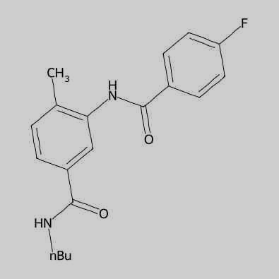 CCCCNC(=O)c1ccc(C)c(NC(=O)c2ccc(F)cc2)c1